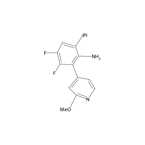 COc1cc(-c2c(N)c(C(C)C)cc(F)c2F)ccn1